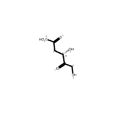 O=C(O)C(=O)C[C@H](O)C(=O)CO